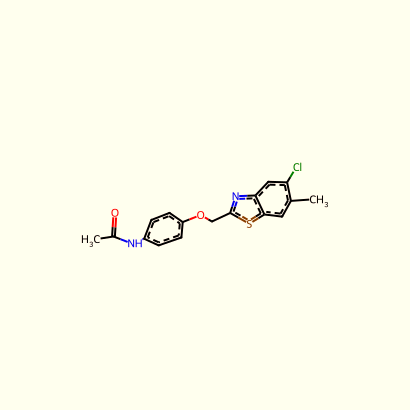 CC(=O)Nc1ccc(OCc2nc3cc(Cl)c(C)cc3s2)cc1